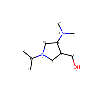 CC(C)N1CC(CO)C(N(C)C)C1